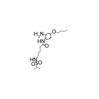 CCCCOc1ccc(NC(=O)CCCCNS(=O)(=O)C(C)C)c(N)c1